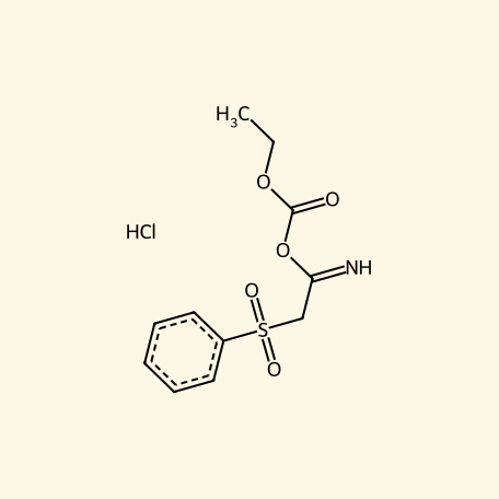 CCOC(=O)OC(=N)CS(=O)(=O)c1ccccc1.Cl